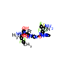 Cc1cc(F)c(-c2ccc([C@H](C)NC(=O)[C@@H]3C[C@@H](O)CN3C(=O)[C@@H](c3cc(N4CC5(CCN(CCOc6nc(N7CC8CCC(C7)N8)c7cc(Cl)c(-c8ccc(F)c9sc(N)c(C#N)c89)c(F)c7n6)CC5)C4)no3)C(C)C)cc2)c(F)c1